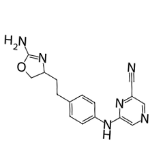 N#Cc1cncc(Nc2ccc(CCC3COC(N)=N3)cc2)n1